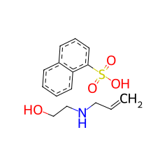 C=CCNCCO.O=S(=O)(O)c1cccc2ccccc12